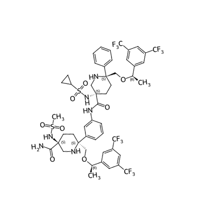 C[C@@H](OC[C@@]1(c2cccc(NC(=O)[C@]3(NS(=O)(=O)C4CC4)CC[C@@](CO[C@H](C)c4cc(C(F)(F)F)cc(C(F)(F)F)c4)(c4ccccc4)NC3)c2)CC[C@@](NS(C)(=O)=O)(C(N)=O)CN1)c1cc(C(F)(F)F)cc(C(F)(F)F)c1